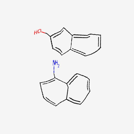 Nc1cccc2ccccc12.Oc1ccc2ccccc2c1